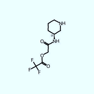 O=C(COC(=O)C(F)(F)F)N[C@H]1CCCNC1